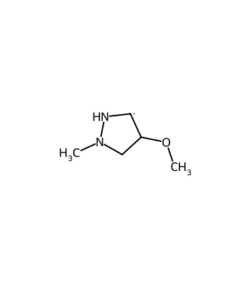 COC1[CH]NN(C)C1